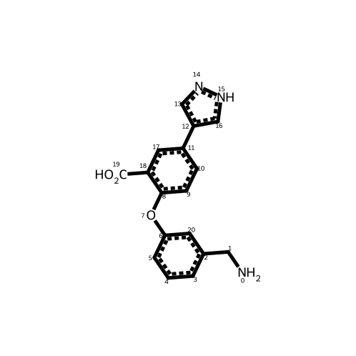 NCc1cccc(Oc2ccc(-c3cn[nH]c3)cc2C(=O)O)c1